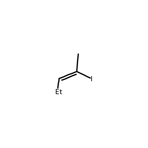 CC/C=C(/C)I